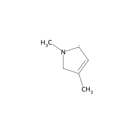 CC1=C[CH]N(C)C1